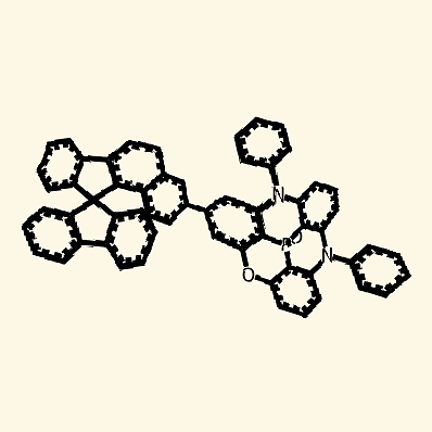 O=P12c3c4cccc3N(c3ccccc3)c3cccc(c31)N(c1ccccc1)c1cc(-c3ccc5c6c(ccc5c3)-c3ccccc3C63c5ccccc5-c5ccccc53)cc(c12)O4